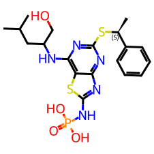 CC(C)CC(CO)Nc1nc(S[C@@H](C)c2ccccc2)nc2nc(NP(=O)(O)O)sc12